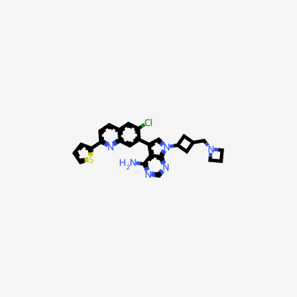 Nc1ncnc2c1c(-c1cc3nc(-c4cccs4)ccc3cc1Cl)cn2C1CC(CN2CCC2)C1